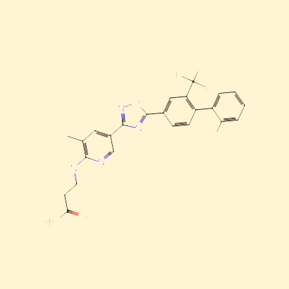 Cc1cc(-c2noc(-c3ccc(-c4ccccc4F)c(C(F)(F)F)c3)n2)cnc1NCCC(=O)O